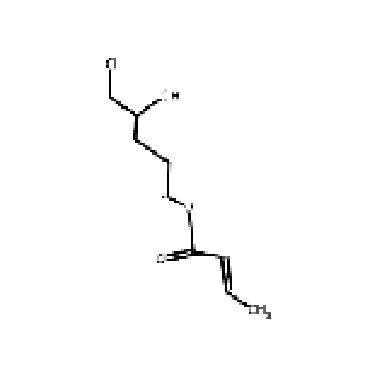 CC=CC(=O)O[CH]CCC(O)CCl